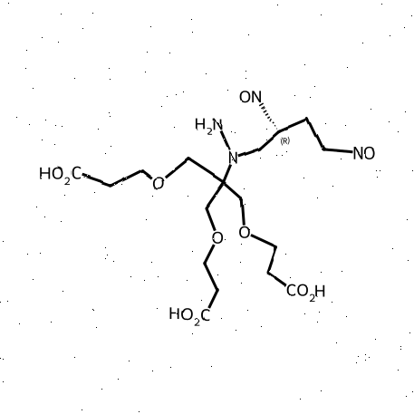 NN(C[C@@H](CCN=O)N=O)C(COCCC(=O)O)(COCCC(=O)O)COCCC(=O)O